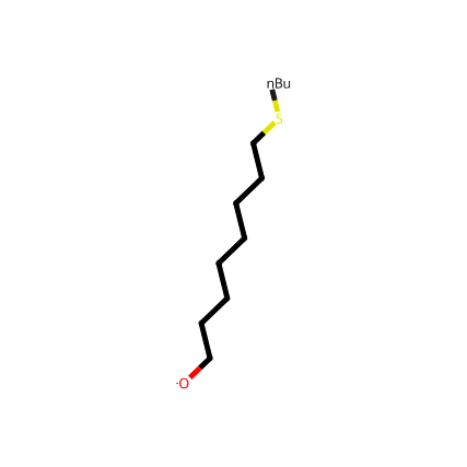 CCCCSCCCCCCCC[O]